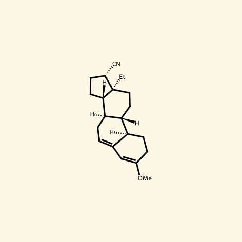 CC[C@]12CC[C@H]3[C@@H](CC=C4C=C(OC)CC[C@@H]43)[C@@H]1CC[C@@H]2C#N